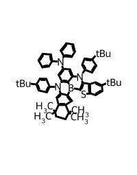 CC(C)(C)c1ccc(N2c3cc4c(cc3B3c5sc6ccc(C(C)(C)C)cc6c5N(c5ccc(C(C)(C)C)cc5)c5cc(N(c6ccccc6)c6ccccc6)cc2c53)C(C)(C)CCC4(C)C)cc1